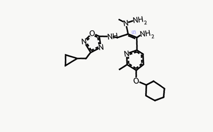 Cc1nc(/C(N)=C(\CNc2nc(CC3CC3)no2)N(C)N)ccc1OC1CCCCC1